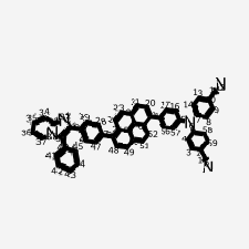 N#Cc1ccc(N(c2ccc(C#N)cc2)c2ccc(-c3ccc4ccc5c(-c6ccc(-c7nc8ccccn8c7-c7ccccc7)cc6)ccc6ccc3c4c65)cc2)cc1